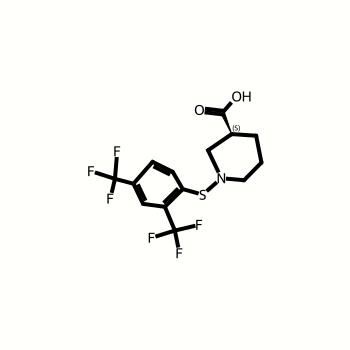 O=C(O)[C@H]1CCCN(Sc2ccc(C(F)(F)F)cc2C(F)(F)F)C1